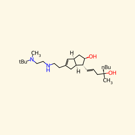 CCCC[C@](C)(O)C/C=C/[C@@H]1[C@H]2CC(CCNCCN(C)C(C)(C)C)=C[C@H]2C[C@H]1O